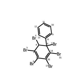 BrC1=C(Br)C(Br)C(Br)(c2ccccc2)C(Br)=C1Br